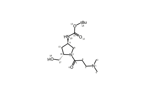 CN(C)CCC(=O)N1C[C@H](NC(=O)OC(C)(C)C)C[C@H]1CO